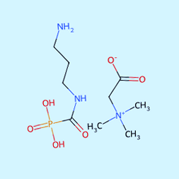 C[N+](C)(C)CC(=O)[O-].NCCCNC(=O)P(=O)(O)O